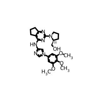 COc1cc(-n2cnc(Nc3nc(N4CCC[C@H]4CO)nc4c3CCC4)c2)cc(OC)c1OC